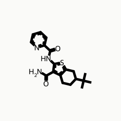 CC(C)(C)C1CCc2c(sc(NC(=O)c3ccccn3)c2C(N)=O)C1